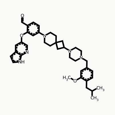 COc1cc(CN2CCN(C3CC4(CCN(c5ccc(C=O)c(Oc6cnc7[nH]ccc7c6)c5)CC4)C3)CC2)ccc1CC(C)C